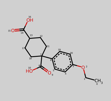 CCOc1ccc(C2(C(=O)O)CCC(C(=O)O)CC2)cc1